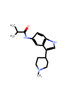 CC(C)C(=O)Nc1ccc2[nH]cc(C3CCN(C)CC3)c2c1